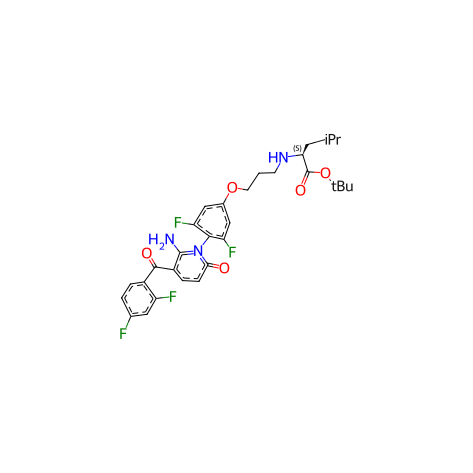 CC(C)C[C@H](NCCCOc1cc(F)c(-n2c(N)c(C(=O)c3ccc(F)cc3F)ccc2=O)c(F)c1)C(=O)OC(C)(C)C